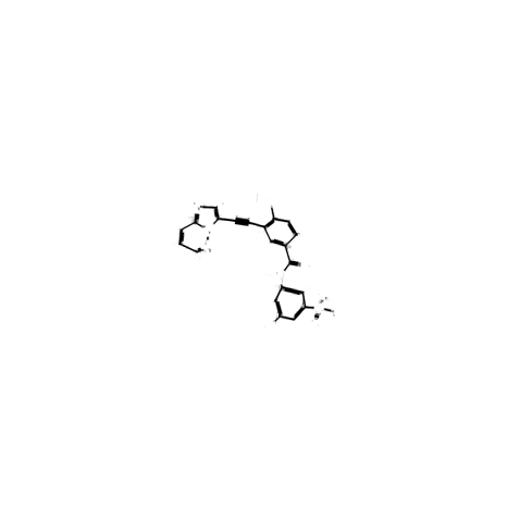 Cc1ccc(C(=O)Nc2cc(C(F)(F)F)cc(S(C)(=O)=O)c2)cc1C#Cc1cnc2cccnn12